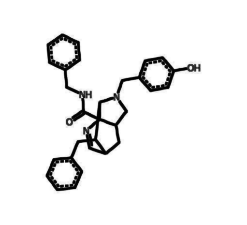 O=C(NCc1ccccc1)C12N=CC3CC1CN(Cc1ccc(O)cc1)C2C3Cc1ccccc1